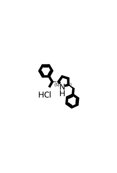 CC(c1ccccc1)[C@@H]1CC[C@@H](Cc2ccccc2)N1.Cl